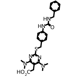 CN(C)c1nc(SCc2ccc(NC(=O)NCc3ccccc3)cc2)nc(N(C)C)c1CC(=O)O